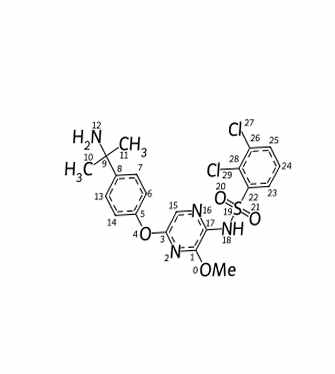 COc1nc(Oc2ccc(C(C)(C)N)cc2)cnc1NS(=O)(=O)c1cccc(Cl)c1Cl